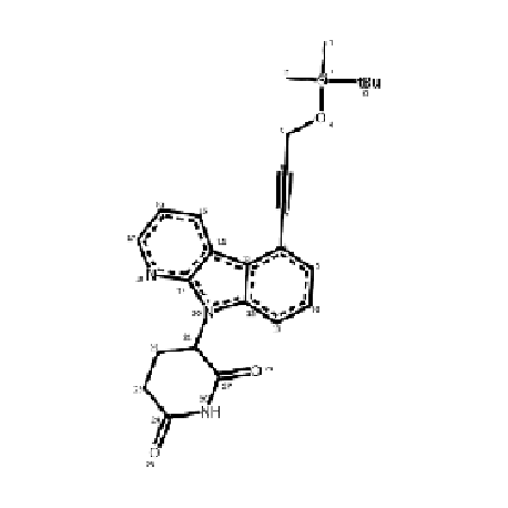 CC(C)(C)[Si](C)(C)OCC#Cc1cccc2c1c1cccnc1n2C1CCC(=O)NC1=O